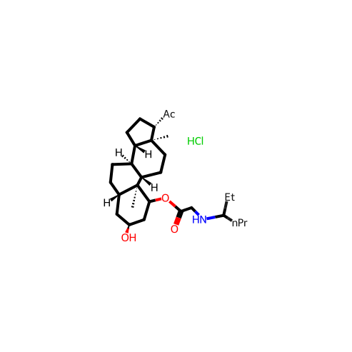 CCCC(CC)NCC(=O)OC1C[C@@H](O)C[C@@H]2CC[C@H]3[C@@H]4CC[C@H](C(C)=O)[C@@]4(C)CC[C@@H]3[C@@]12C.Cl